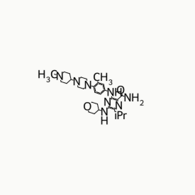 Cc1cc(Nc2nc(NC3CCOCC3)c(C(C)C)nc2C(N)=O)ccc1N1CCN(C2CCN(C)CC2)CC1